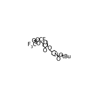 CC(C)(C)OC(=O)N1CCC(COc2coc(C(OS(=O)(=O)C(F)(F)F)C(F)(F)F)cc2=O)CC1